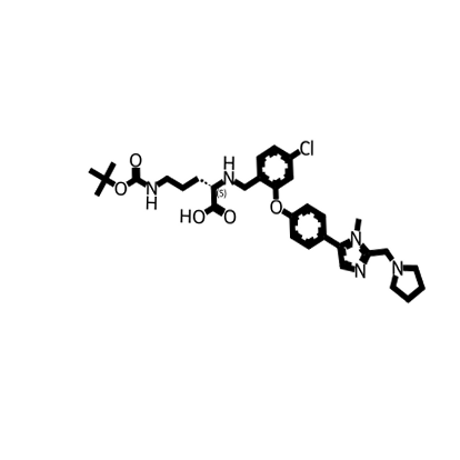 Cn1c(-c2ccc(Oc3cc(Cl)ccc3CN[C@@H](CCCNC(=O)OC(C)(C)C)C(=O)O)cc2)cnc1CN1CCCC1